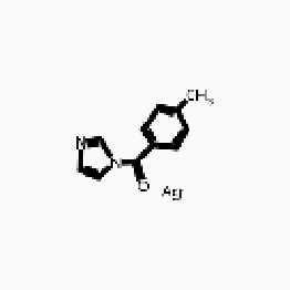 Cc1ccc(C(=O)n2ccnc2)cc1.[Ag]